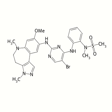 COc1cc2c(cc1Nc1ncc(Br)c(Nc3ccccc3N(C)S(C)(=O)=O)n1)-c1cnn(C)c1CCN2C